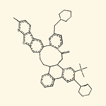 C=C1CC2C(CCc3cc4oc5nc(C)ccc5c4cc3-c3cc(CC4CCCCC4)cc[n+]31)c1ccccc1-c1cc(C3CCCCC3)c([Si](C)(C)C)c[n+]12